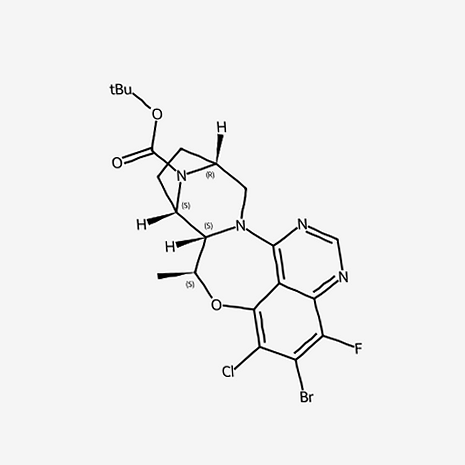 C[C@@H]1Oc2c(Cl)c(Br)c(F)c3ncnc(c23)N2C[C@H]3CC[C@@H]([C@@H]12)N3C(=O)OC(C)(C)C